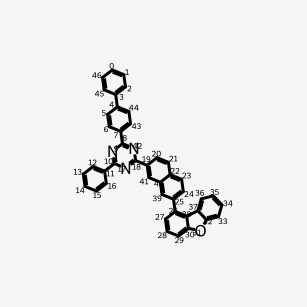 c1ccc(-c2ccc(-c3nc(-c4ccccc4)nc(-c4ccc5ccc(-c6cccc7oc8ccccc8c67)cc5c4)n3)cc2)cc1